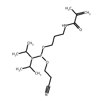 C=C(C)C(=O)NCCCOP(OCCC#N)N(C(C)C)C(C)C